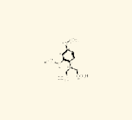 CCCCCCCCCCOc1ccc(N(CC(=O)O)CC(=O)O)c(OCCCCCCCCCC)c1